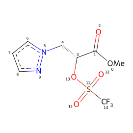 COC(=O)[C@@H](Cn1cccn1)OS(=O)(=O)C(F)(F)F